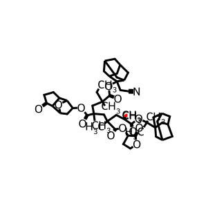 CCC(C)(CC(C)(CC(C)(CC(C)(C)C(=O)OC(C)(C)C12CC3CC(CC(C3)C1)C2)C(=O)OC1CCOC1=O)C(=O)OC1CC2OC1C1CCC(=O)C21)C(=O)OC1(CC#N)C2CC3CC(C2)CC1C3